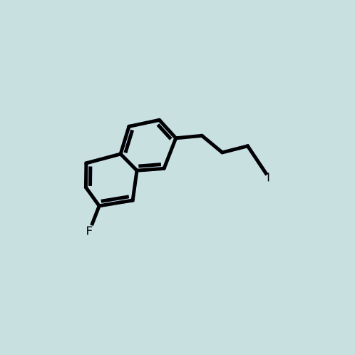 Fc1ccc2ccc(CCCI)cc2c1